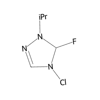 CC(C)N1N=CN(Cl)C1F